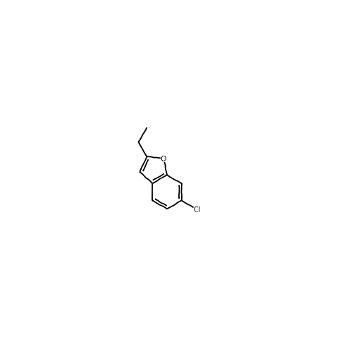 [CH2]Cc1cc2ccc(Cl)cc2o1